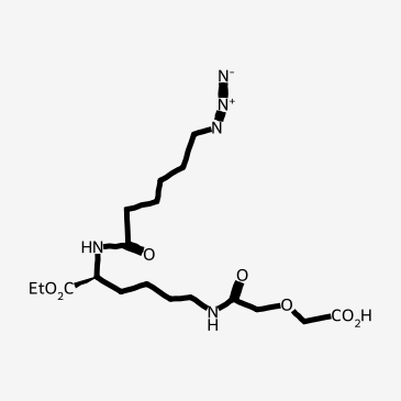 CCOC(=O)[C@H](CCCCNC(=O)COCC(=O)O)NC(=O)CCCCCN=[N+]=[N-]